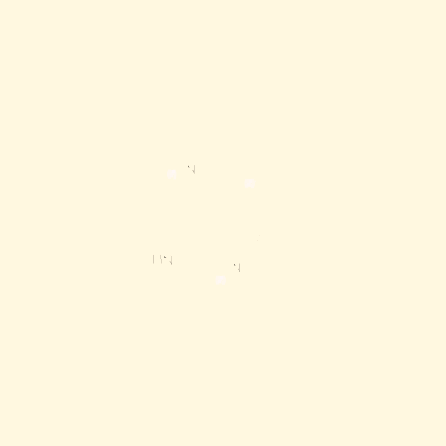 C=C1/C=C\N=C/CN/C=N\1